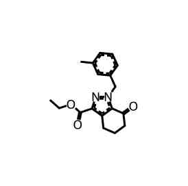 CCOC(=O)c1nn(Cc2cccc(C)c2)c2c1CCCC2=O